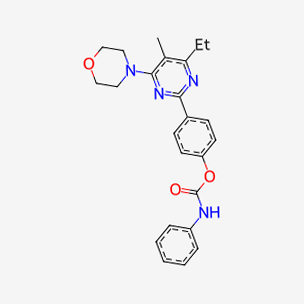 CCc1nc(-c2ccc(OC(=O)Nc3ccccc3)cc2)nc(N2CCOCC2)c1C